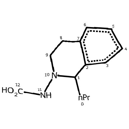 CCCC1c2ccccc2CCN1NC(=O)O